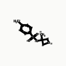 Cc1ccc(S(=O)(=O)OC2(C)COC2)cc1